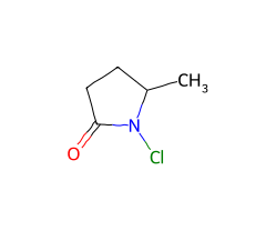 CC1CCC(=O)N1Cl